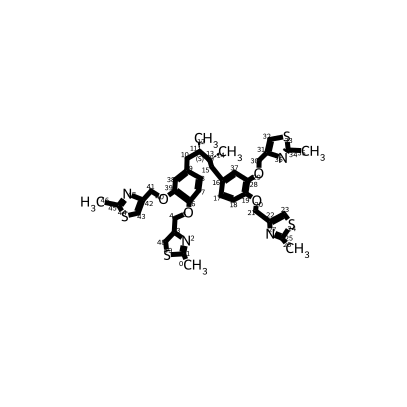 CC1=NC(COc2ccc(C[C@H](C)[C@H](C)Cc3ccc(OCc4csc(C)n4)c(OCc4csc(C)n4)c3)cc2OCc2csc(C)n2)CS1